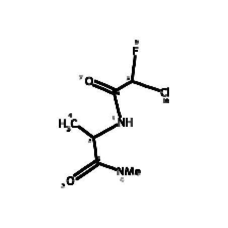 CNC(=O)C(C)NC(=O)C(F)Cl